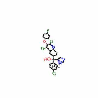 Cn1cncc1C(O)(c1ccc(Cl)cc1)c1ccc2nc(Cl)c(Oc3ccc(F)cc3)c(Cl)c2c1